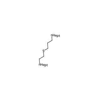 CCCCCCCCCCSCCCCCCCCC